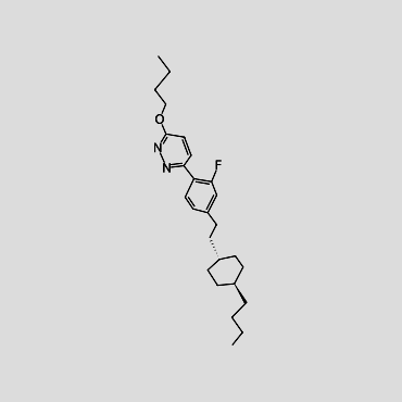 CCCCOc1ccc(-c2ccc(CC[C@H]3CC[C@H](CCCC)CC3)cc2F)nn1